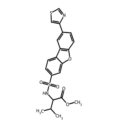 COC(=O)C(NS(=O)(=O)c1ccc2c(c1)oc1ccc(-c3cscn3)cc12)C(C)C